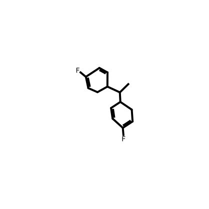 CC(C1C=CC(F)=CC1)C1C=CC(F)=CC1